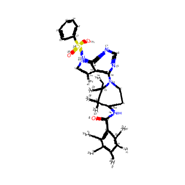 [2H]c1c([2H])c([2H])c(C(=O)NC2CCN(c3ncnc4c3c(C(C)C)cn4S(=O)(=O)c3ccccc3)C([2H])([2H])C2([2H])[2H])c([2H])c1[2H]